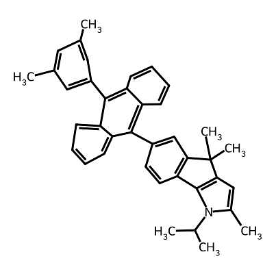 Cc1cc(C)cc(-c2c3ccccc3c(-c3ccc4c(c3)C(C)(C)c3cc(C)n(C(C)C)c3-4)c3ccccc23)c1